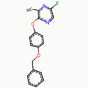 N#Cc1nc(F)cnc1Oc1ccc(OCc2ccccc2)cc1